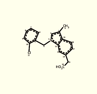 Cc1cn(Cc2ccccc2Cl)c2cc(CC(=O)O)ccc12